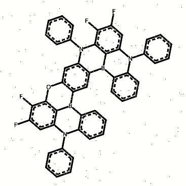 Fc1cc2c3c(c1F)Oc1cc4c(cc1B3c1ccccc1N2c1ccccc1)B1c2ccccc2N(c2ccccc2)c2cc(F)c(F)c(c21)N4c1ccccc1